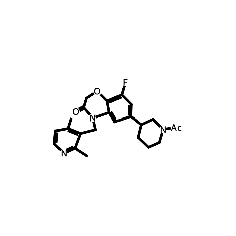 CC(=O)N1CCCC(c2cc(F)c3c(c2)N(Cc2c(C)ccnc2C)C(=O)CO3)C1